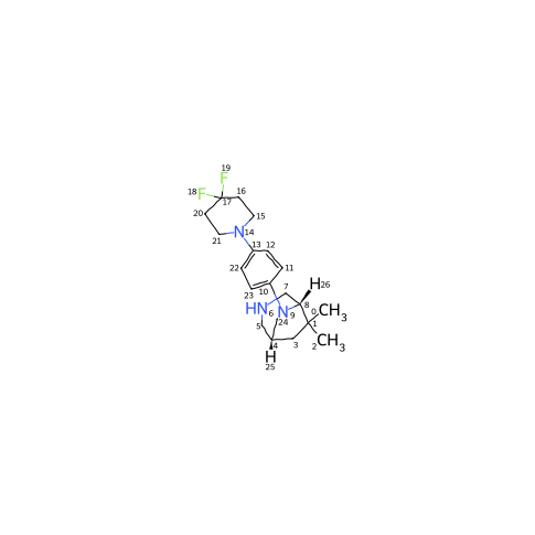 CC1(C)C[C@@H]2CNC[C@H]1N(c1ccc(N3CCC(F)(F)CC3)cc1)C2